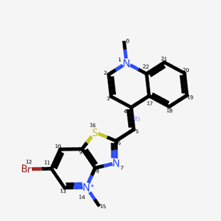 CN1C=C/C(=C\c2nc3c(cc(Br)c[n+]3C)s2)c2ccccc21